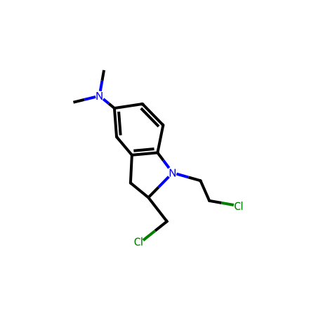 CN(C)c1ccc2c(c1)CC(CCl)N2CCCl